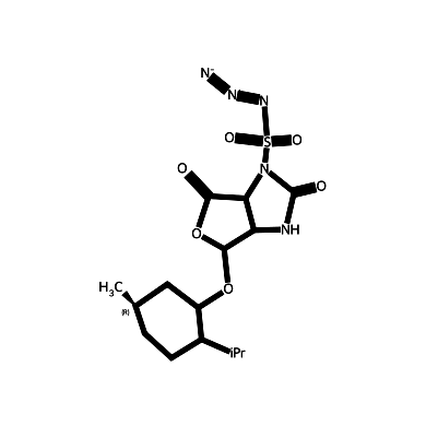 CC(C)C1CC[C@@H](C)CC1OC1OC(=O)C2C1NC(=O)N2S(=O)(=O)N=[N+]=[N-]